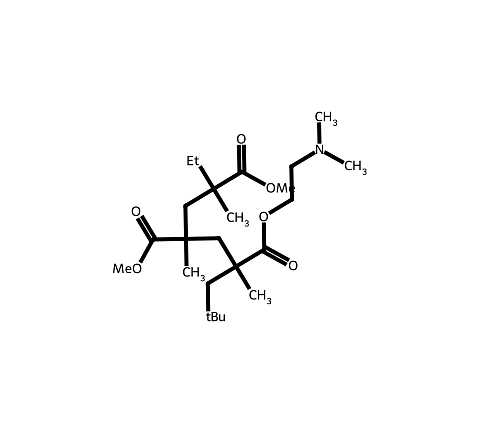 CCC(C)(CC(C)(CC(C)(CC(C)(C)C)C(=O)OCCN(C)C)C(=O)OC)C(=O)OC